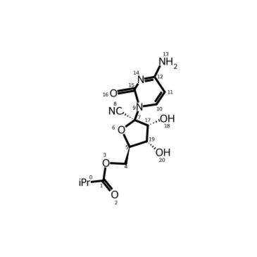 CC(C)C(=O)OC[C@H]1O[C@@](C#N)(n2ccc(N)nc2=O)[C@H](O)[C@@H]1O